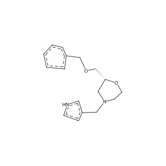 c1ccc(COC[C@H]2CN(Cc3cc[nH]c3)CCO2)cc1